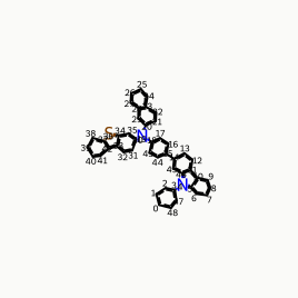 c1ccc(-n2c3ccccc3c3ccc(-c4ccc(N(c5ccc6ccccc6c5)c5ccc6c(c5)sc5ccccc56)cc4)cc32)cc1